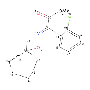 COC(=O)C(=NOC1(C)CCCCCC1)c1ccccc1F